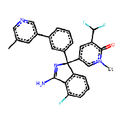 CCn1cc(C2(c3cccc(-c4cncc(C)c4)c3)N=C(N)c3c(F)cccc32)cc(C(F)F)c1=O